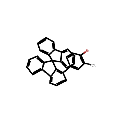 FC(F)(F)c1cc(-c2cccc3c2C2(c4ccccc4-c4ccccc42)c2ccccc2-3)ccc1Br